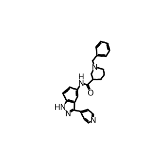 O=C(Nc1ccc2[nH]nc(-c3ccncc3)c2c1)C1CCCN(Cc2ccccc2)C1